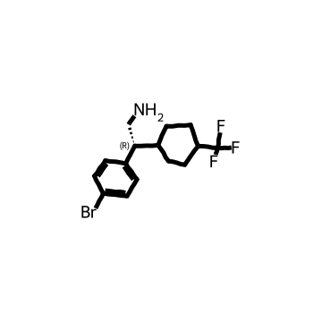 NC[C@@H](c1ccc(Br)cc1)C1CCC(C(F)(F)F)CC1